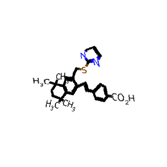 CC1(C)CCC(C)(C)c2cc(CSc3ncccn3)c(C=Cc3ccc(C(=O)O)cc3)cc21